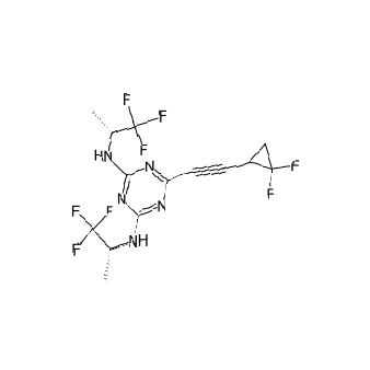 C[C@@H](Nc1nc(C#CC2CC2(F)F)nc(N[C@H](C)C(F)(F)F)n1)C(F)(F)F